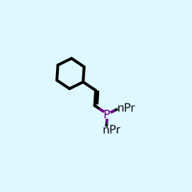 CCCP(/C=C/C1CCCCC1)CCC